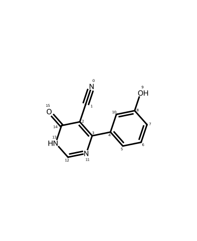 N#Cc1c(-c2cccc(O)c2)nc[nH]c1=O